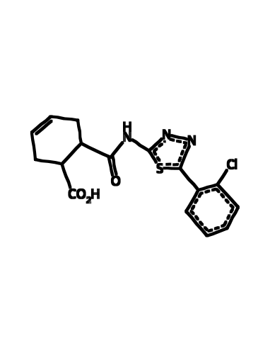 O=C(O)C1CC=CCC1C(=O)Nc1nnc(-c2ccccc2Cl)s1